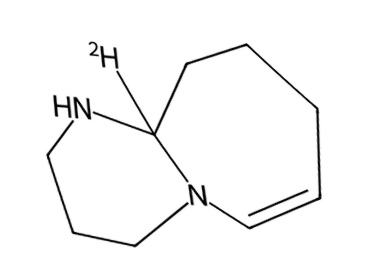 [2H]C12CCCC=CN1CCCN2